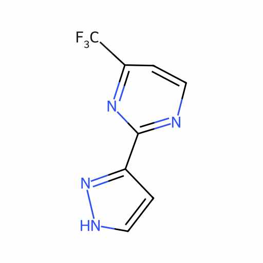 FC(F)(F)c1ccnc(-c2cc[nH]n2)n1